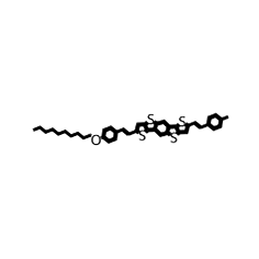 CCCCCCCCCCOc1ccc(/C=C/c2cc3sc4cc5c(cc4c3s2)sc2cc(/C=C/c3ccc(C)cc3)sc25)cc1